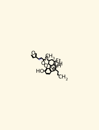 C=CCN1CC[C@]23c4c5ccc(O)c4OC2C(N(C)C(=O)/C=C/c2ccoc2)CC(CC)[C@@]3(O)[C@H]1C5